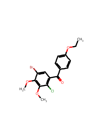 CCOc1ccc(C(=O)c2cc(Br)c(OC)c(OC)c2Cl)cc1